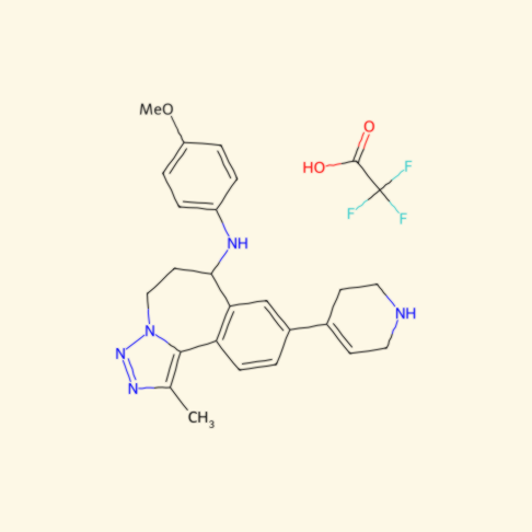 COc1ccc(NC2CCn3nnc(C)c3-c3ccc(C4=CCNCC4)cc32)cc1.O=C(O)C(F)(F)F